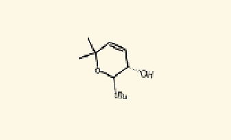 CC1(C)C=C[C@H](O)C(C(C)(C)C)O1